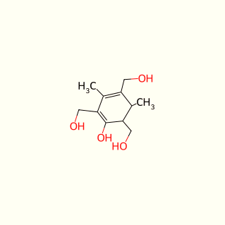 CC1=C(CO)C(C)C(CO)C(O)=C1CO